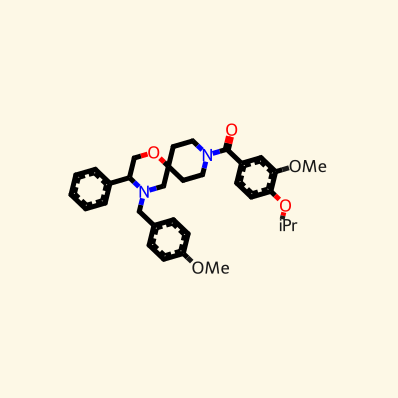 COc1ccc(CN2CC3(CCN(C(=O)c4ccc(OC(C)C)c(OC)c4)CC3)OCC2c2ccccc2)cc1